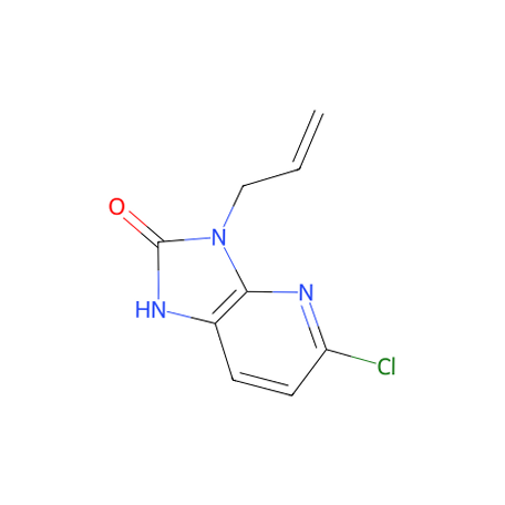 C=CCn1c(=O)[nH]c2ccc(Cl)nc21